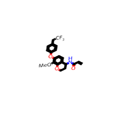 C=CC(=O)NC1CCOc2c1ccc(Oc1ccc(CC(F)(F)F)cc1)c2OC